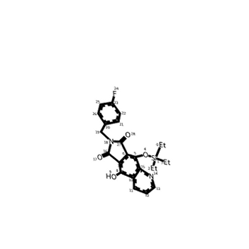 CC[Si](CC)(CC)Oc1c2c(c(O)c3cccnc13)C(=O)N(Cc1ccc(F)cc1)C2=O